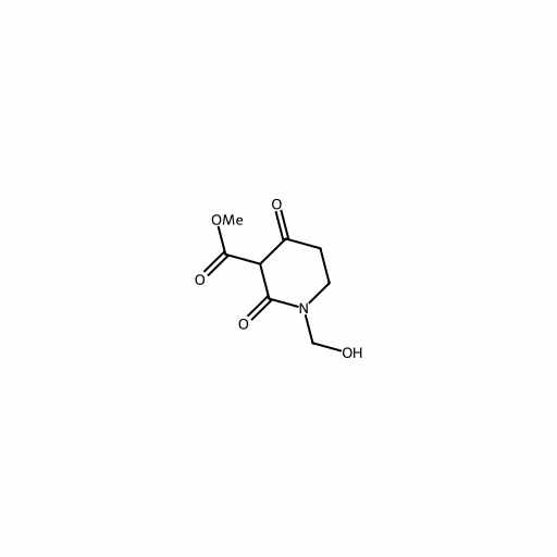 COC(=O)C1C(=O)CCN(CO)C1=O